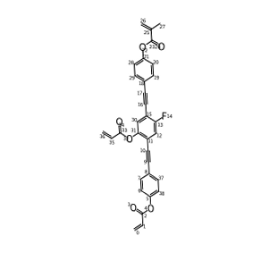 C=CC(=O)Oc1ccc(C#Cc2cc(F)c(C#Cc3ccc(OC(=O)C(=C)C)cc3)cc2OC(=O)C=C)cc1